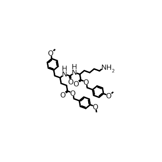 COc1ccc(COC(=O)CCC(Cc2ccc(OC)cc2)NC(=O)NC(CCCCN)C(=O)OCc2ccc(OC)cc2)cc1